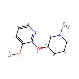 CCOc1cccnc1O[C@@H]1CCCN(C(=O)O)C1